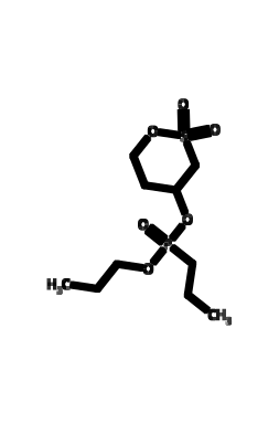 CCCOP(=O)(CCC)OC1CCOS(=O)(=O)C1